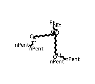 CCCCCC(CCCCC)CCOC(=O)CCCCCCCCC1(CCCCCCCCC(=O)OCCC(CCCCC)CCCCC)OCC(CN(CC)CC)O1